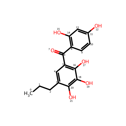 CCCc1cc(C(=O)c2ccc(O)cc2O)c(O)c(O)c1O